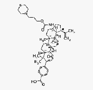 C=C(C)[C@@H]1CC[C@]2(NC(=O)OCCCN3CCSCC3)CC[C@]3(C)[C@H](CC[C@@H]4[C@@]5(C)CC=C(c6ccc(C(=O)O)cc6)C(C)(C)[C@@H]5CC[C@]43C)[C@@H]12